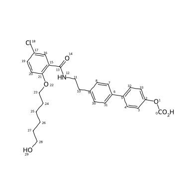 O=C(O)Oc1ccc(-c2ccc(CCNC(=O)c3cc(Cl)ccc3OCCCCCCO)cc2)cc1